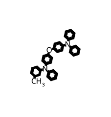 CC1C=CC=C(N(c2ccccc2)c2ccc(Oc3ccc(N(c4ccccc4)c4ccccc4)cc3)cc2)C1